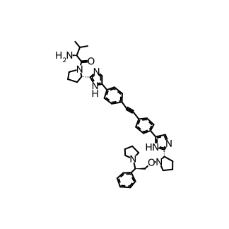 CC(C)[C@H](N)C(=O)N1CCC[C@H]1c1ncc(-c2ccc(C#Cc3ccc(-c4cnc([C@@H]5CCCN5OC[C@@H](c5ccccc5)N5CCCC5)[nH]4)cc3)cc2)[nH]1